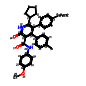 CCCCCc1ccc(-c2c(C3CCCC3)[nH]c(=O)c(C(=O)Nc3ccc(OCC)cc3)c2-c2ccc(C)cc2)cc1